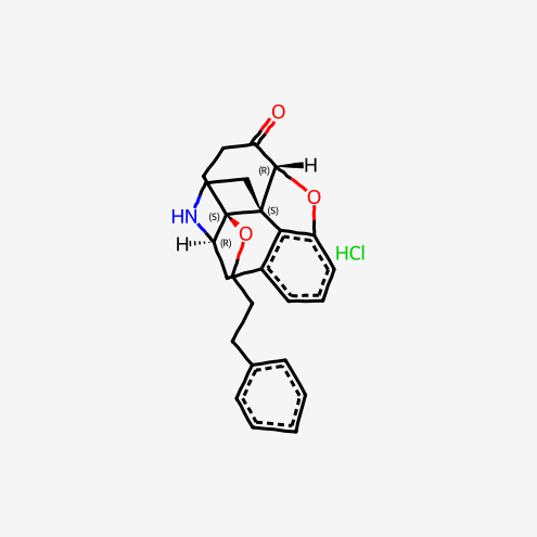 Cl.O=C1CC[C@@]2(OCCCc3ccccc3)[C@H]3Cc4cccc5c4[C@@]2(CCN3)[C@H]1O5